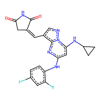 O=C1CC(=Cc2cnn3c(NC4CC4)cc(Nc4ccc(F)cc4F)nc23)C(=O)N1